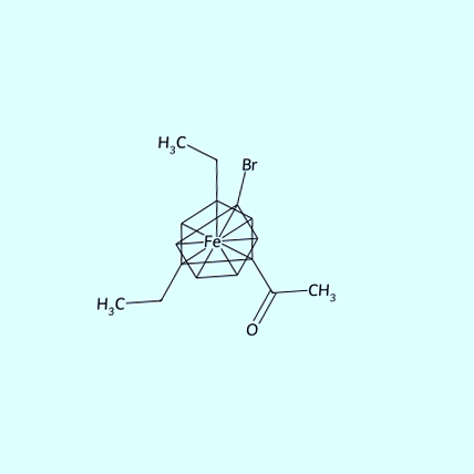 CC[C]12[CH]3[C]4(CC)[C]5(C(C)=O)[CH]1[Fe]32451678[CH]2[CH]1[CH]6[C]7(Br)[CH]28